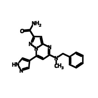 CN(Cc1ccccc1)c1cc(-c2cn[nH]c2)n2nc(C(N)=O)cc2n1